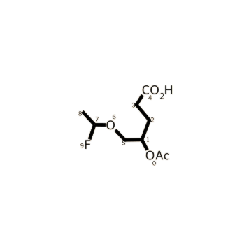 CC(=O)OC(CCC(=O)O)COC(C)F